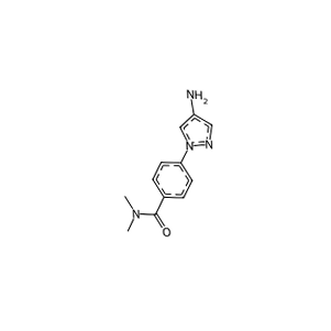 CN(C)C(=O)c1ccc(-n2cc(N)cn2)cc1